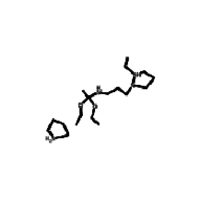 C1CC[SiH2]C1.CCOC(C)(OCC)[SiH2]CCCN1CCC[SiH]1CC